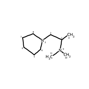 C[C](CN1CCCCC1)N(C)C